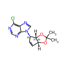 CC1(C)O[C@H]2[C@H](n3cnc4c(Cl)ncnc43)C=C[C@H]2O1